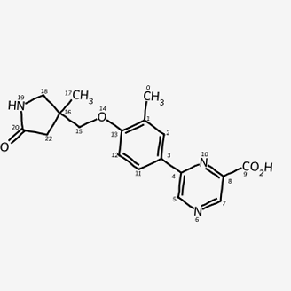 Cc1cc(-c2cncc(C(=O)O)n2)ccc1OCC1(C)CNC(=O)C1